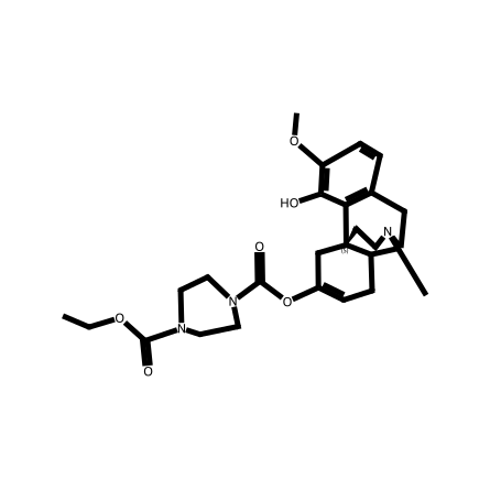 CCOC(=O)N1CCN(C(=O)OC2=CCC3C4Cc5ccc(OC)c(O)c5[C@@]3(CCN4C)C2)CC1